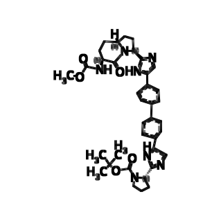 COC(=O)N[C@H]1CC[C@@H]2CC[C@@H](c3ncc(-c4ccc(-c5ccc(-c6cnc([C@@H]7CCCN7C(=O)OC(C)(C)C)[nH]6)cc5)cc4)[nH]3)N2C1=O